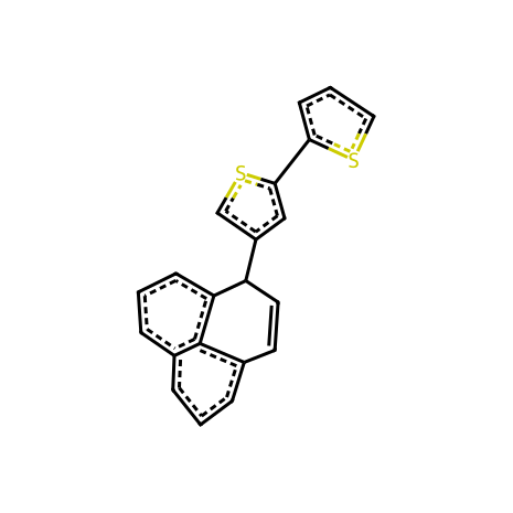 C1=CC(c2csc(-c3cccs3)c2)c2cccc3cccc1c23